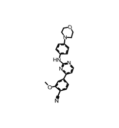 COc1cc(-c2ccnc(Nc3ccc(N4CCOCC4)cc3)n2)ccc1C#N